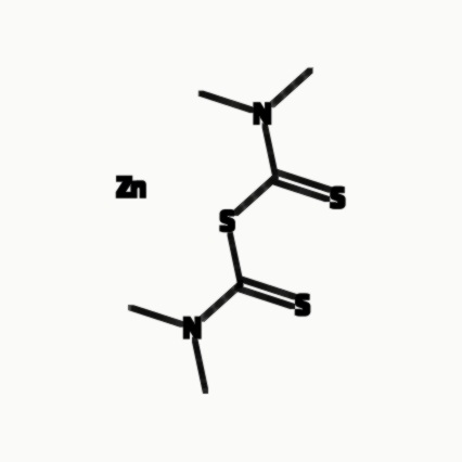 CN(C)C(=S)SC(=S)N(C)C.[Zn]